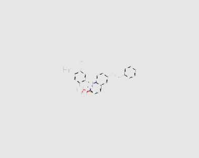 Cc1cc(Br)c(F)cc1-n1c(=O)ccc2cc(SCc3ccccc3)ccc21